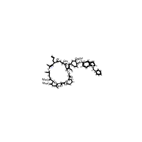 C=CCC1/C=C(\C)CC(C)CC(OC)C2OC(O)(C(=O)C(=O)N3CCCCC3C(=O)OC(C(C)=CC3CCC(Oc4ccc5c(ccn5Cc5ccccc5)c4)C(OC)C3)C(C)C(O)CC1=O)C(C)CC2OC